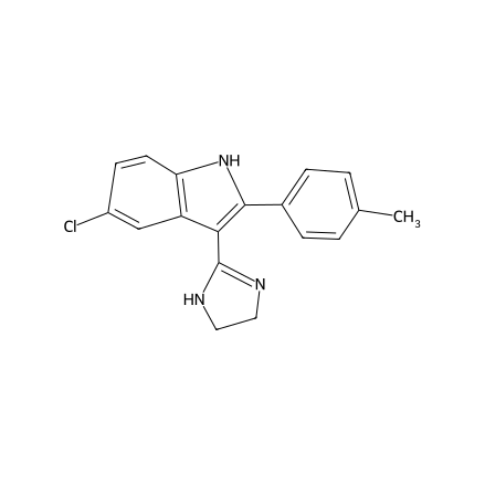 Cc1ccc(-c2[nH]c3ccc(Cl)cc3c2C2=NCCN2)cc1